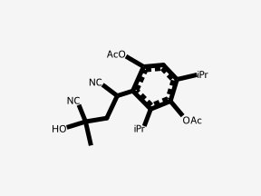 CC(=O)Oc1cc(C(C)C)c(OC(C)=O)c(C(C)C)c1C(C#N)CC(C)(O)C#N